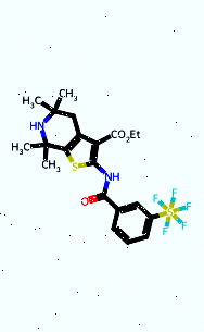 CCOC(=O)c1c(NC(=O)c2cccc(S(F)(F)(F)(F)F)c2)sc2c1CC(C)(C)NC2(C)C